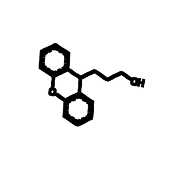 OCCCC1c2ccccc2Oc2ccccc21